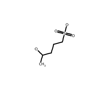 CC([O])CCCS([O])(=O)=O